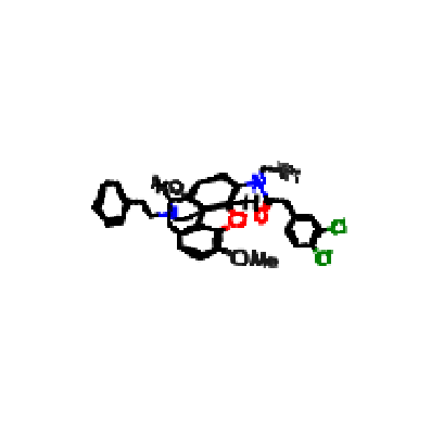 COc1ccc2c3c1O[C@H]1[C@H](N(CC(C)C)C(=O)Cc4ccc(Cl)c(Cl)c4)CC[C@@]4(OC(C)=O)[C@@H](C2)N(CCc2ccccc2)CC[C@]314